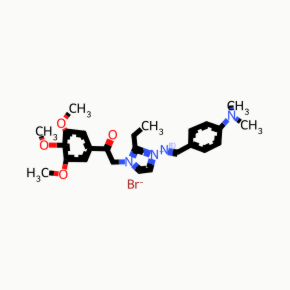 CCc1n(CC(=O)c2cc(OC)c(OC)c(OC)c2)cc[n+]1/N=C/c1ccc(N(C)C)cc1.[Br-]